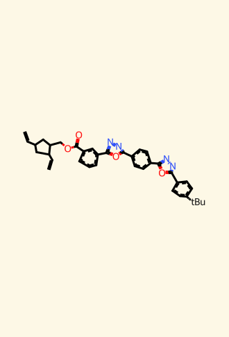 C=CC1CC(C=C)C(COC(=O)c2cccc(-c3nnc(-c4ccc(-c5nnc(-c6ccc(C(C)(C)C)cc6)o5)cc4)o3)c2)C1